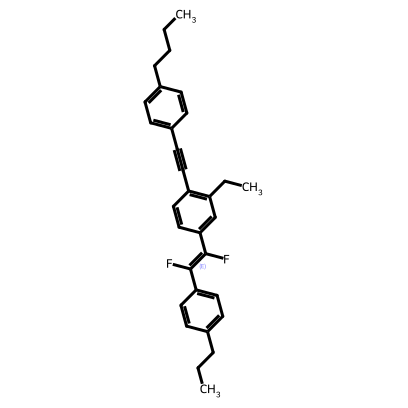 CCCCc1ccc(C#Cc2ccc(/C(F)=C(\F)c3ccc(CCC)cc3)cc2CC)cc1